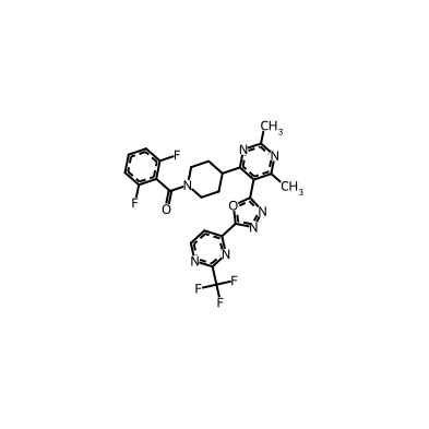 Cc1nc(C)c(-c2nnc(-c3ccnc(C(F)(F)F)n3)o2)c(C2CCN(C(=O)c3c(F)cccc3F)CC2)n1